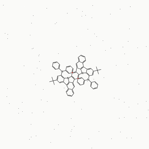 CC(C)(C)c1cc(N(c2ccccc2)c2ccccc2)c2c(c1)c1c3ccccc3cc3c4cc5c(cc4n2c31)c1cc2ccccc2c2c3cc(C(C)(C)C)cc(N(c4ccccc4)c4ccccc4)c3n5c12